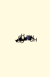 C=N/C=N\C(=N/CN1CCC(CNC(=O)c2cc(OC)cc(OCC3CC3)c2)CC1)c1ccc(O)c(C#N)c1